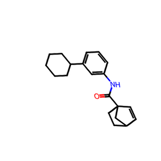 O=C(Nc1cccc(C2CCCCC2)c1)C12C=CC(CC1)C2